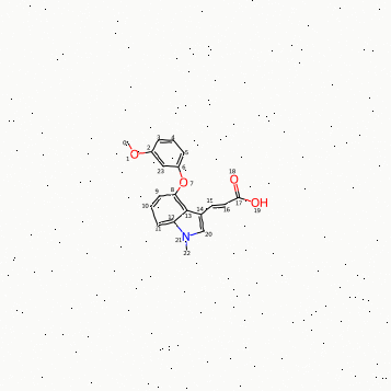 COc1cccc(Oc2cccc3c2c(C=CC(=O)O)cn3C)c1